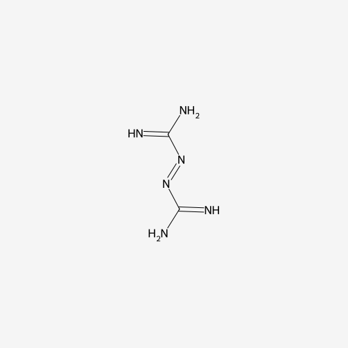 N=C(N)/N=N/C(=N)N